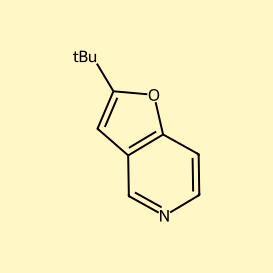 CC(C)(C)c1cc2cnccc2o1